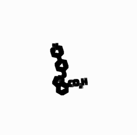 O=C(O)c1cccc2ccn(Cc3ccc(-c4ccncc4)cc3)c12